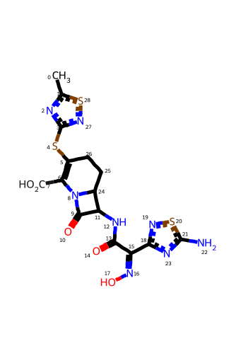 Cc1nc(SC2=C(C(=O)O)N3C(=O)C(NC(=O)/C(=N\O)c4nsc(N)n4)C3CC2)ns1